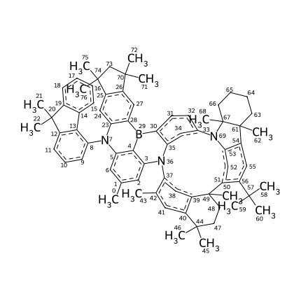 Cc1cc2c3c(c1)N(c1cccc4c1-c1ccccc1C4(C)C)c1cc4c(cc1B3c1ccc3cc1N2c1cc2c(cc1C)C(C)(C)CCC2(C)c1cc2c(cc1C(C)(C)C)C1(C)CCCCC1(C)N32)C(C)(C)CC4(C)C